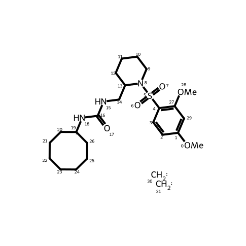 COc1ccc(S(=O)(=O)N2CCCCC2CNC(=O)N[C]2CCCCCCC2)c(OC)c1.[CH2].[CH2]